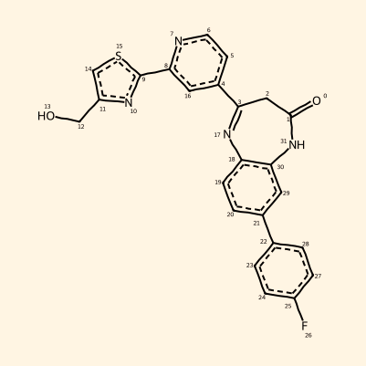 O=C1CC(c2ccnc(-c3nc(CO)cs3)c2)=Nc2ccc(-c3ccc(F)cc3)cc2N1